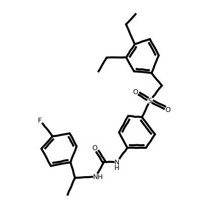 CCc1ccc(CS(=O)(=O)c2ccc(NC(=O)NC(C)c3ccc(F)cc3)cc2)cc1CC